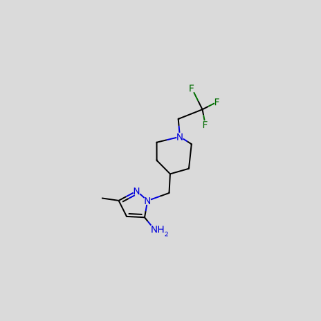 Cc1cc(N)n(CC2CCN(CC(F)(F)F)CC2)n1